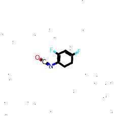 O=C=NC1=C(F)C=C(F)CC1